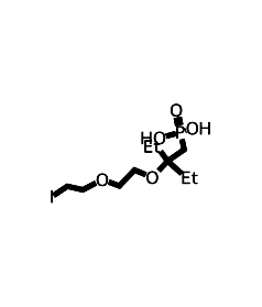 CCC(CC)(CP(=O)(O)O)OCCOCCI